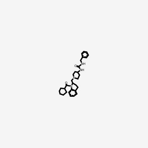 O=C(NCc1ccccc1)NC1CCN(CC2CCc3ccccc3N2C(=O)C2CCCCC2)CC1